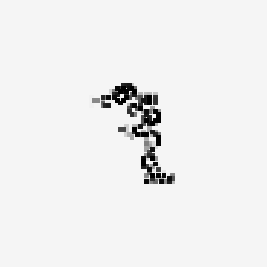 COc1ccc(N2CCN(c3cccc(C(=O)NC4C5CC6CC4CC(O)(C6)C5)n3)C(C)C2)cn1